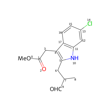 COC(=O)Cc1c(CC(C)C=O)[nH]c2cc(Cl)ccc12